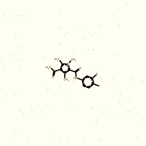 CC(=O)c1c(C)c(C(=O)Nc2ccc(F)c(F)c2)n(C)c1C